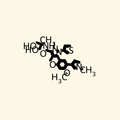 COc1cc2c(cc1-c1ccn(C)c1)-c1c(c(C(=O)NC(C)(CO)CO)nn1-c1ccsc1)CO2